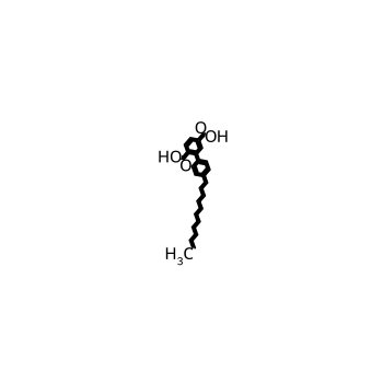 CCCCCCCCCCCCc1ccc(-c2cc(C(=O)O)ccc2C(=O)O)cc1